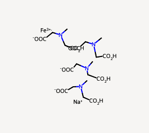 CN(CC(=O)[O-])CC(=O)O.CN(CC(=O)[O-])CC(=O)O.CN(CC(=O)[O-])CC(=O)O.CN(CC(=O)[O-])CC(=O)O.[Fe+3].[Na+]